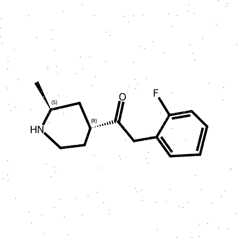 C[C@H]1C[C@H](C(=O)Cc2ccccc2F)CCN1